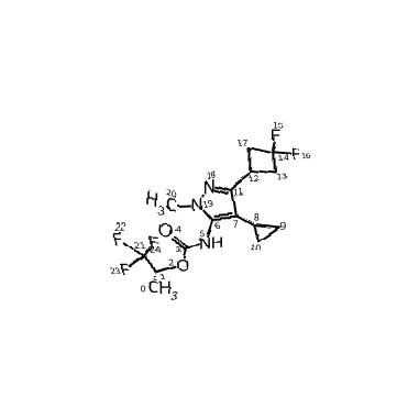 C[C@@H](OC(=O)Nc1c(C2CC2)c(C2CC(F)(F)C2)nn1C)C(F)(F)F